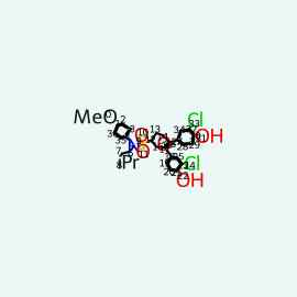 COc1ccc(N(CCC(C)C)S(=O)(=O)C2CC3OC2C(c2ccc(O)c(Cl)c2)=C3c2ccc(O)c(Cl)c2)cc1